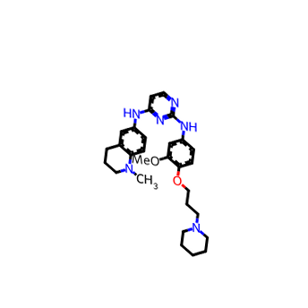 COc1cc(Nc2nccc(Nc3ccc4c(c3)CCCN4C)n2)ccc1OCCCN1CCCCC1